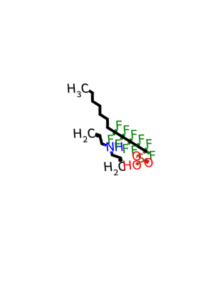 C=CCNCC=C.CCCCCCCC(F)(F)C(F)(F)C(F)(F)C(F)(F)C(F)(F)S(=O)(=O)O